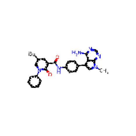 CCC(C)c1cc(C(=O)Nc2ccc(-c3cn(C)c4ncnc(N)c34)cc2)c(=O)n(-c2ccccc2)c1